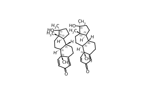 C[C@]12C=CC(=O)C=C1CC[C@@H]1[C@@H]2CC[C@@]2(C)[C@H]1CC[C@]2(C)O.C[C@]12C=CC(=O)C=C1CC[C@@H]1[C@@H]2CC[C@@]2(C)[C@H]1CC[C@]2(C)O